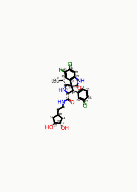 CC(C)(C)C[C@H]1N[C@@H](C(=O)NCCC2C[C@H](O)[C@@H](O)C2)[C@H](c2cccc(Cl)c2)[C@@]12C(=O)Nc1cc(Cl)c(F)cc12